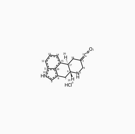 Cl.O=C=C1CN[C@@H]2Cc3c[nH]c4cccc(c34)[C@H]2C1